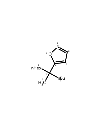 CCCCCCC(C)(CCCC)c1ccno1